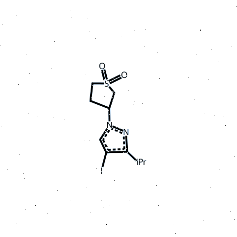 CC(C)c1nn(C2CCS(=O)(=O)C2)cc1I